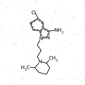 CC1CCCC(C)N1CCCn1nc(N)c2cc(Cl)ccc21